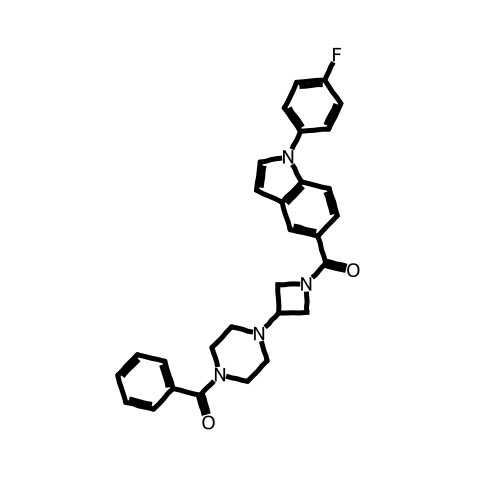 O=C(c1ccccc1)N1CCN(C2CN(C(=O)c3ccc4c(ccn4-c4ccc(F)cc4)c3)C2)CC1